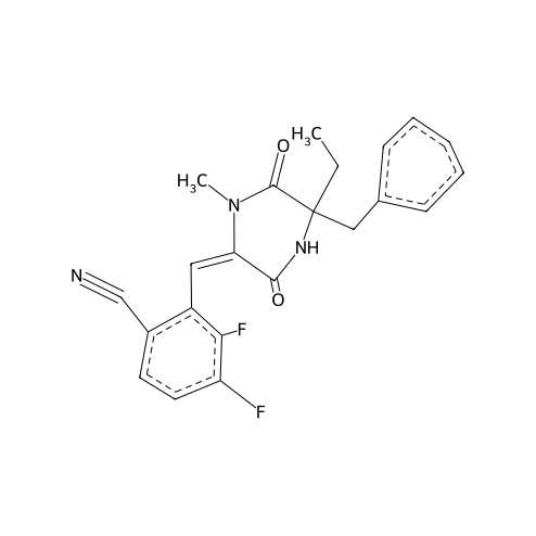 CCC1(Cc2ccccc2)NC(=O)/C(=C\c2c(C#N)ccc(F)c2F)N(C)C1=O